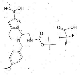 COc1ccc(CN2CCc3cc(B(O)O)sc3C2CNC(=O)OC(C)(C)C)cc1.O=C(O)C(F)(F)F